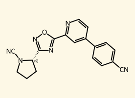 N#Cc1ccc(-c2ccnc(-c3nc([C@@H]4CCCN4C#N)no3)c2)cc1